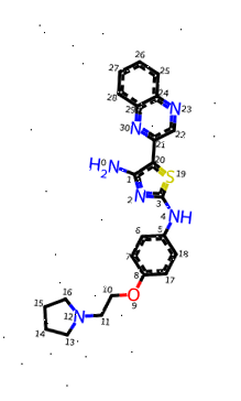 Nc1nc(Nc2ccc(OCCN3CCCC3)cc2)sc1-c1cnc2ccccc2n1